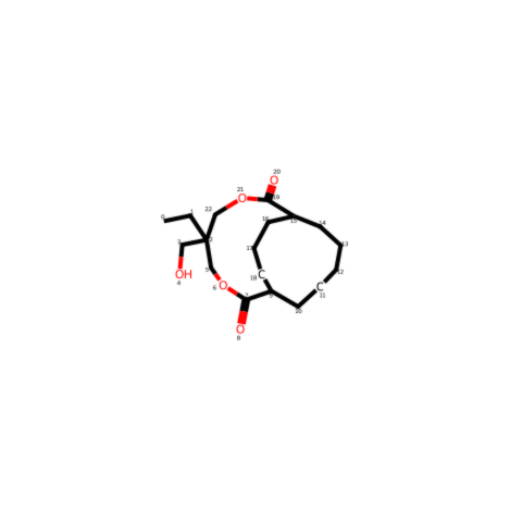 CCC1(CO)COC(=O)C2CCCCCC(CCC2)C(=O)OC1